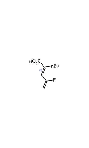 C=C(F)/C=C(\CCCC)C(=O)O